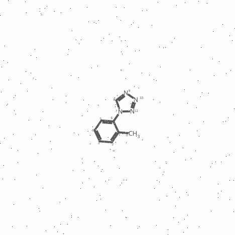 Cc1ccccc1-n1cnnn1